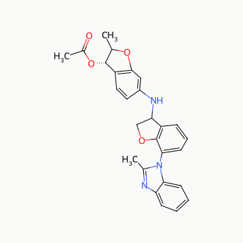 CC(=O)O[C@H]1c2ccc(NC3COc4c3cccc4-n3c(C)nc4ccccc43)cc2OC1C